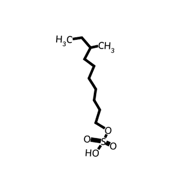 CCC(C)CCCCCCCOS(=O)(=O)O